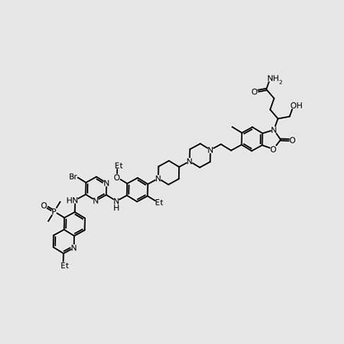 CCOc1cc(N2CCC(N3CCN(CCc4cc5oc(=O)n(C(CO)CCC(N)=O)c5cc4C)CC3)CC2)c(CC)cc1Nc1ncc(Br)c(Nc2ccc3nc(CC)ccc3c2P(C)(C)=O)n1